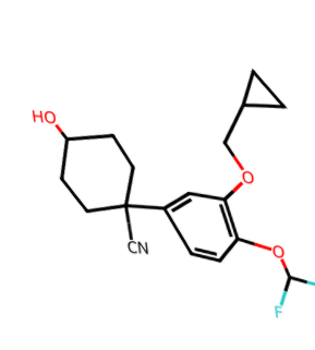 N#CC1(c2ccc(OC(F)F)c(OCC3CC3)c2)CCC(O)CC1